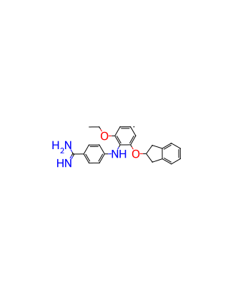 CCOc1c[c]cc(OC2Cc3ccccc3C2)c1Nc1ccc(C(=N)N)cc1